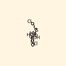 O=C(NCc1cc(/C=C/C2=CCC(Cl)C=C2)cs1)[C@H](O)[C@@H](O)C(=O)N1CCN(c2ccccc2Cl)CC1